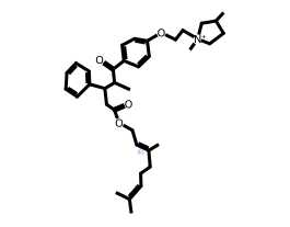 CC(C)=CCC/C(C)=C/COC(=O)CC(c1ccccc1)C(C)C(=O)c1ccc(OCC[N+]2(C)CCC(C)C2)cc1